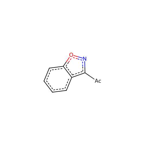 CC(=O)c1noc2ccccc12